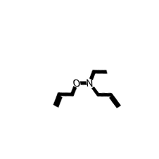 C=CCON(CC)CC=C